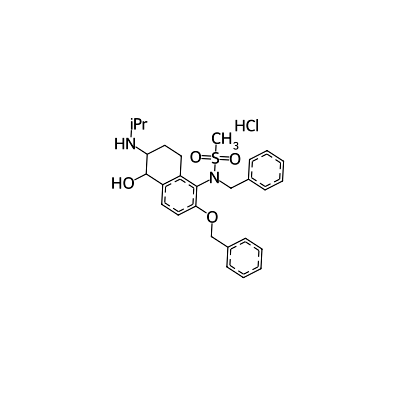 CC(C)NC1CCc2c(ccc(OCc3ccccc3)c2N(Cc2ccccc2)S(C)(=O)=O)C1O.Cl